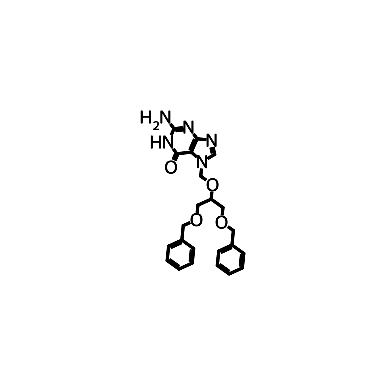 Nc1nc2ncn(COC(COCc3ccccc3)COCc3ccccc3)c2c(=O)[nH]1